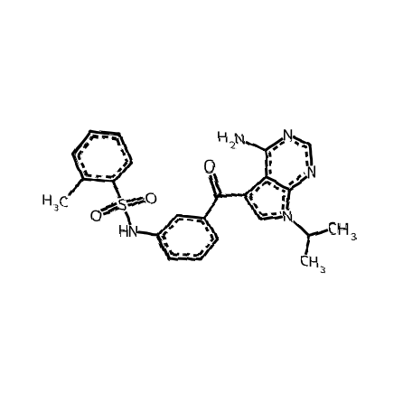 Cc1ccccc1S(=O)(=O)Nc1cccc(C(=O)c2cn(C(C)C)c3ncnc(N)c23)c1